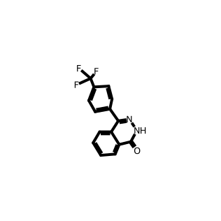 O=c1[nH]nc(-c2ccc(C(F)(F)F)cc2)c2ccccc12